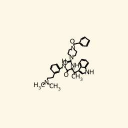 C[C@H](c1c[nH]c2ccccc12)[C@@H](NC(=O)N1CCN(C(=O)c2ccccc2)CC1)C(=O)Nc1cccc(CCN(C)C)c1